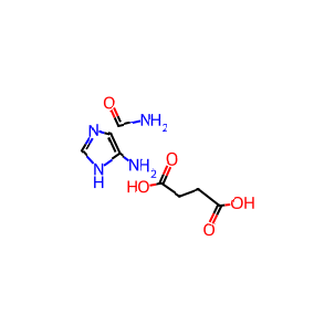 NC=O.Nc1cnc[nH]1.O=C(O)CCC(=O)O